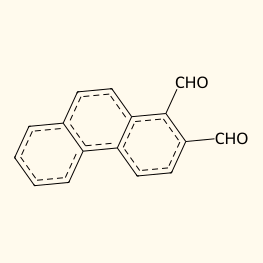 O=Cc1ccc2c(ccc3ccccc32)c1C=O